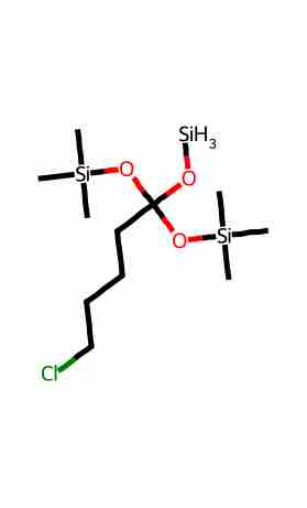 C[Si](C)(C)OC(CCCCCl)(O[SiH3])O[Si](C)(C)C